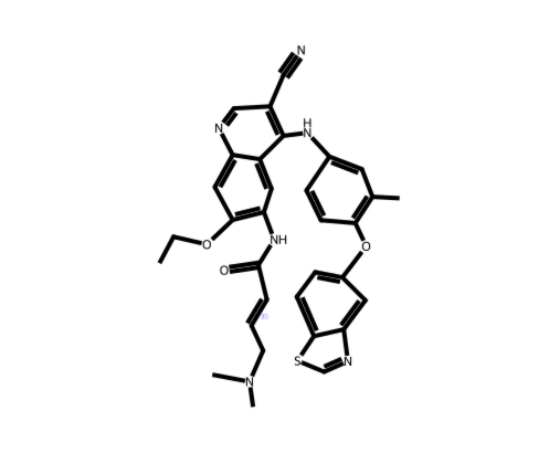 CCOc1cc2ncc(C#N)c(Nc3ccc(Oc4ccc5scnc5c4)c(C)c3)c2cc1NC(=O)/C=C/CN(C)C